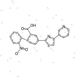 O=C(O)c1cc(-c2nc(-c3cccnc3)cs2)ccc1-c1ccccc1[N+](=O)[O-]